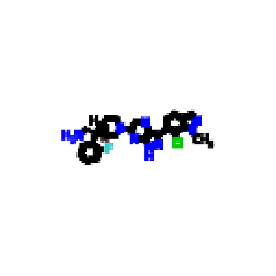 Cn1ncc2ccc(-c3n[nH]c4nc(N5CC[C@@H]6[C@H](C5)[C@@]6(CN)c5ccccc5F)cnc34)c(Cl)c21